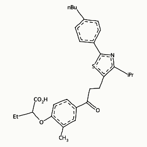 CCCCc1ccc(-c2nc(C(C)C)c(CCC(=O)c3ccc(OC(CC)C(=O)O)c(C)c3)s2)cc1